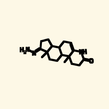 CC12CCC(=O)NC1=CCC1C2CCC2(C)C(=NN)CCC12